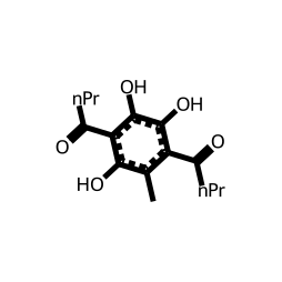 CCCC(=O)c1c(C)c(O)c(C(=O)CCC)c(O)c1O